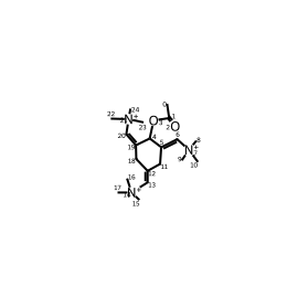 CC(=O)OC1C(=C[N+](C)(C)C)CC(=C[N+](C)(C)C)CC1=C[N+](C)(C)C